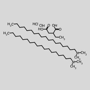 CCC(CC(=O)O)C(=O)O.CCCCCCCCCCCCCCCCCCN(C)C.CCCCCCCCCCCCCCCCCCN(C)C.Cl.Cl